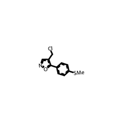 CSc1ccc(-c2oncc2CCl)cc1